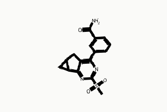 CS(=O)(=O)c1nc(-c2cccc(C(N)=O)c2)c2c(n1)C1CC1C2